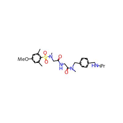 COc1cc(C)c(S(=O)(=O)N(C)CC(=O)NCC(=O)N(C)Cc2ccc(CNC(C)C)cc2)c(C)c1